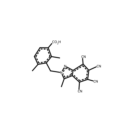 Cc1ccc(C(=O)O)c(C)c1Cn1nc2c(C#N)c(C#N)c(C#N)c(C#N)c2c1C